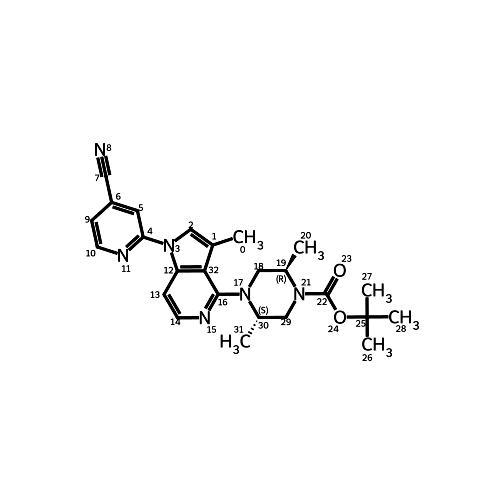 Cc1cn(-c2cc(C#N)ccn2)c2ccnc(N3C[C@@H](C)N(C(=O)OC(C)(C)C)C[C@@H]3C)c12